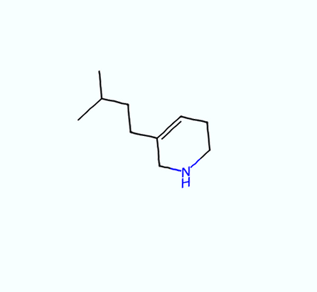 CC(C)CCC1=CCCNC1